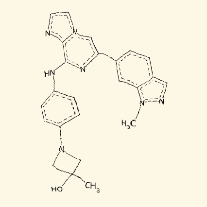 Cn1ncc2ccc(-c3cn4ccnc4c(Nc4ccc(N5CC(C)(O)C5)cc4)n3)cc21